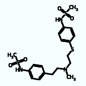 CN(CCSc1ccc(NS(C)(=O)=O)cc1)CCc1ccc(NS(C)(=O)=O)cc1